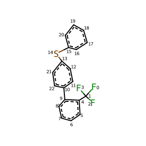 FC(F)(F)c1ccc[c]c1-c1ccc(Sc2ccccc2)cc1